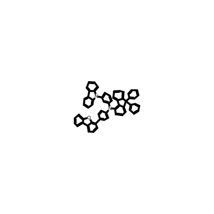 c1ccc(C2(c3ccccc3)c3ccccc3-c3c(N(c4ccc(-c5cccc6c5oc5ccccc56)cc4)c4cccc(-n5c6ccccc6c6ccccc65)c4)cccc32)cc1